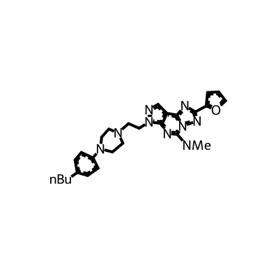 CCCCc1ccc(N2CCN(CCn3ncc4c3nc(NC)n3nc(-c5ccco5)nc43)CC2)cc1